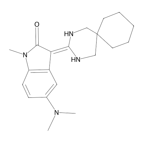 CN(C)c1ccc2c(c1)C(=C1NCC3(CCCCC3)CN1)C(=O)N2C